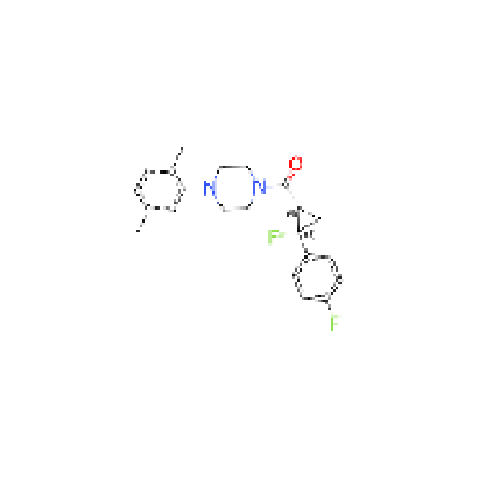 Cc1ccc(C)c(N2CCN(C(=O)[C@@H]3C[C@@]3(F)c3ccc(F)cc3)CC2)c1